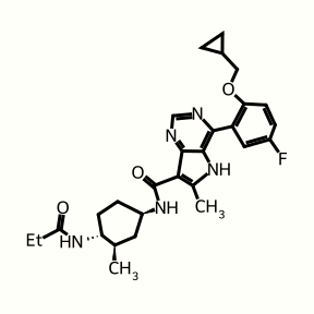 CCC(=O)N[C@@H]1CC[C@@H](NC(=O)c2c(C)[nH]c3c(-c4cc(F)ccc4OCC4CC4)ncnc23)C[C@H]1C